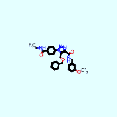 O=C(NCC(F)(F)F)c1ccc(-n2nnc(C(=O)NCc3cccc(OC(F)(F)F)c3)c2COCc2ccccc2)cc1